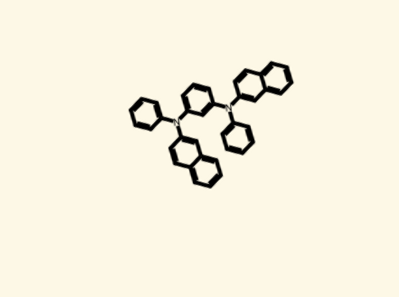 c1ccc(N(c2cccc(N(c3ccccc3)c3ccc4ccccc4c3)c2)c2ccc3ccccc3c2)cc1